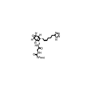 CCCCCC(=O)NCC(=O)NC[C@H]1[C@@H](C/C=C\CCCc2nnn[nH]2)[C@@H]2O[C@H]1[C@@H]1O[C@@H]12